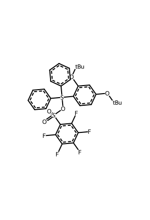 CC(C)(C)Oc1ccc(S(OS(=O)(=O)c2c(F)c(F)c(F)c(F)c2F)(c2ccccc2)c2ccccc2)c(OC(C)(C)C)c1